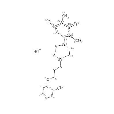 Cl.Cn1c(N2CCN(CCCOc3ccccc3Cl)CC2)cc(=O)n(C)c1=O